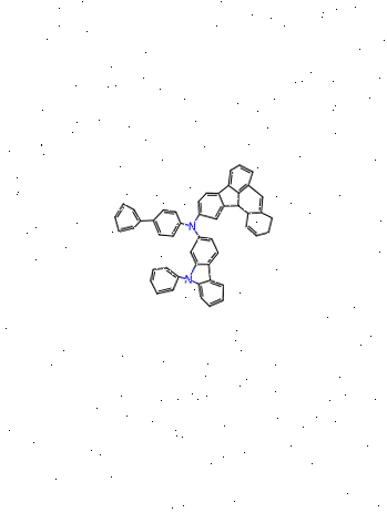 C1=CC2C(=Cc3cccc4c3C2c2cc(N(c3ccc(-c5ccccc5)cc3)c3ccc5c6ccccc6n(-c6ccccc6)c5c3)ccc2-4)CC1